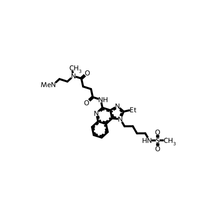 CCc1nc2c(NC(=O)CCC(=O)N(C)CCNC)nc3ccccc3c2n1CCCCNS(C)(=O)=O